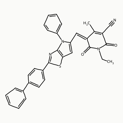 CCN1C(=O)C(C#N)=C(C)/C(=C/c2cc3sc(-c4ccc(-c5ccccc5)cc4)nc3n2-c2ccccc2)C1=O